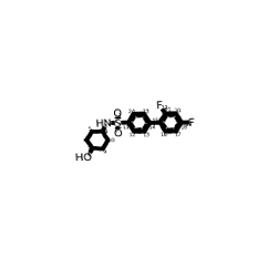 O=S(=O)(NC1CCC(O)CC1)c1ccc(-c2ccc(F)cc2F)cc1